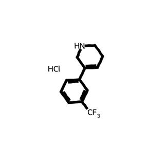 Cl.FC(F)(F)c1cccc(C2=CCCNC2)c1